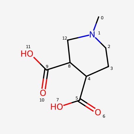 CN1CCC(C(=O)O)C(C(=O)O)C1